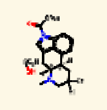 CCC1(CC)C[C@@H]2c3cccc4c3c(cn4C(=O)OC)C[C@H]2N(C)C1.O=S(=O)(O)O